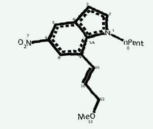 CCCCCn1ccc2cc([N+](=O)[O-])cc(/C=C/COC)c21